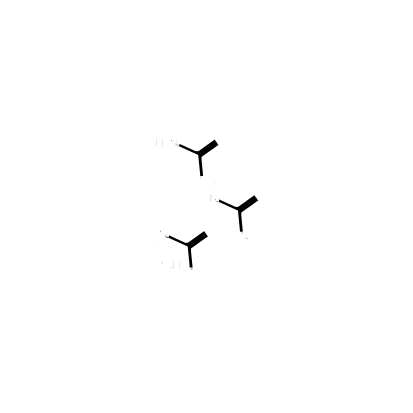 NC(=O)O.NC(=O)O.NC(=O)O.[AsH3]